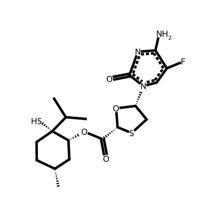 CC(C)[C@]1(S)CC[C@@H](C)C[C@H]1OC(=O)[C@@H]1O[C@H](n2cc(F)c(N)nc2=O)CS1